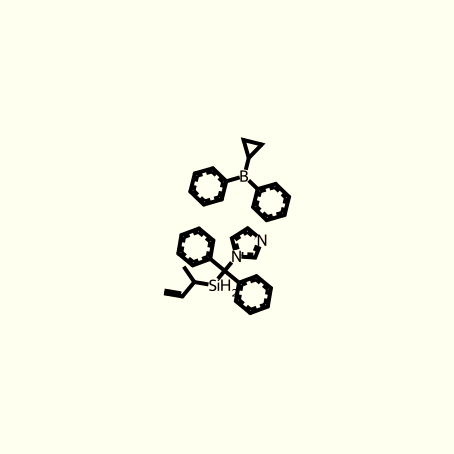 C=CC(C)[SiH2]C(c1ccccc1)(c1ccccc1)n1ccnc1.c1ccc(B(c2ccccc2)C2CC2)cc1